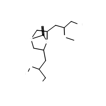 O=C1N2CC(CC(CS)SS)N1C(CC(CS)SS)C2